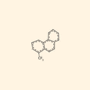 FC(F)(F)c1[c]ccc2c1ccc1ccccc12